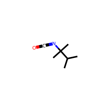 CC(C)C(C)(C)N=C=O